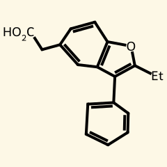 CCc1oc2ccc(CC(=O)O)cc2c1-c1ccccc1